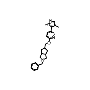 Cc1cnn(C)c1-c1ccc(OCC2CC3CN(Cc4ccccc4)CC3C2)nn1